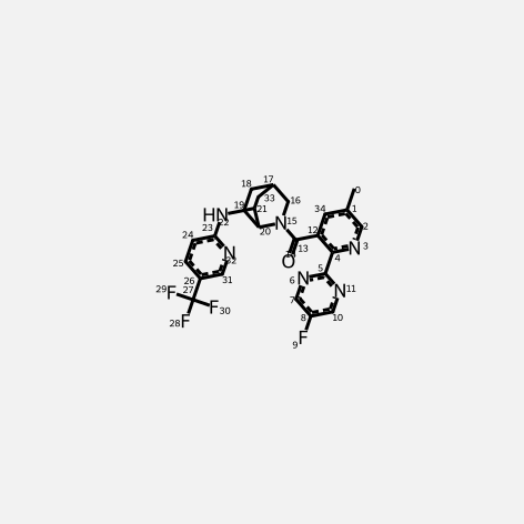 Cc1cnc(-c2ncc(F)cn2)c(C(=O)N2CC3CCC2C(Nc2ccc(C(F)(F)F)cn2)C3)c1